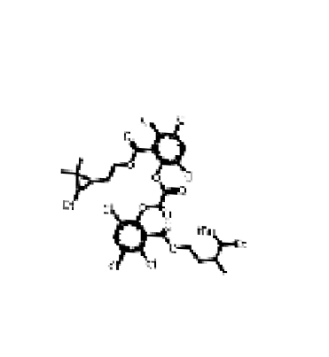 CCC(C(C)CCOC(=O)c1c(Cl)c(Cl)cc(Cl)c1OC(=O)C(=O)Oc1c(Cl)cc(Cl)c(Cl)c1C(=O)OCCC1C(CC)C1(C)C)C(C)(C)C